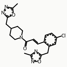 Cc1noc(Cc2cc(Cl)ccc2C=CC(=O)N2CCC(Cc3nnc(C)o3)CC2)n1